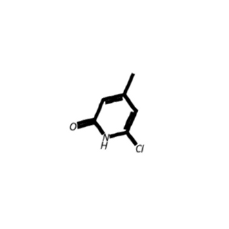 Cc1cc(Cl)[nH]c(=O)c1